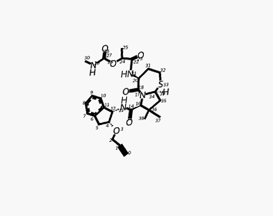 C#CCO[C@@H]1Cc2ccccc2[C@@H]1NC(=O)[C@H]1N2C(=O)[C@@H](NC(=O)C(C)OC(=O)NC)CCS[C@H]2CC1(C)C